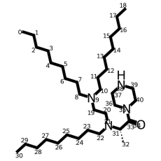 CCCCCCCCCN(CCCCCCCCC)CCN(CCCCCCCCC)[C@@H](C)C(=O)N1CCNCC1